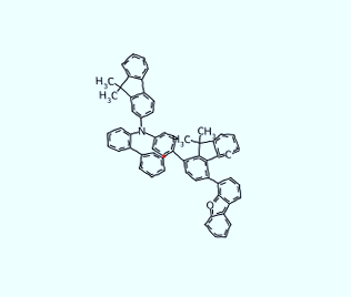 CC1(C)c2ccccc2-c2ccc(N(c3ccc(-c4ccc(-c5cccc6c5oc5ccccc56)c5c4C(C)(C)c4ccccc4-5)cc3)c3ccccc3-c3ccccc3)cc21